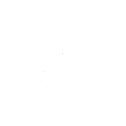 CCOC(=O)Oc1oc2ccc(Cl)c3c2c1CN(C)CC3